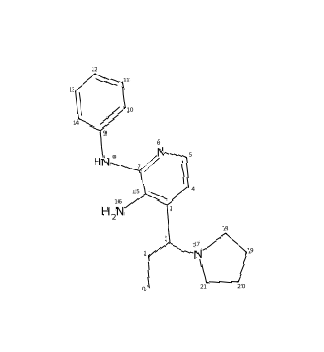 CCC(c1ccnc(Nc2ccccc2)c1N)N1CCCC1